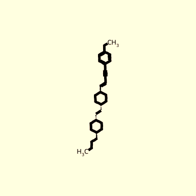 CCCC[C@H]1CC[C@H](CC[C@H]2CC[C@H](C=CC#Cc3ccc(CC)cc3)CC2)CC1